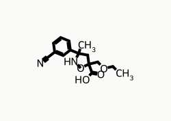 CCOCC1(C(=O)O)CC(C)(c2cccc(C#N)c2)NO1